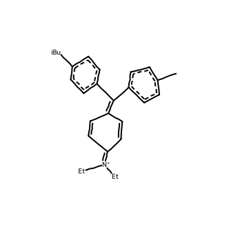 CCC(C)c1ccc(C(=C2C=CC(=[N+](CC)CC)C=C2)c2ccc(C)cc2)cc1